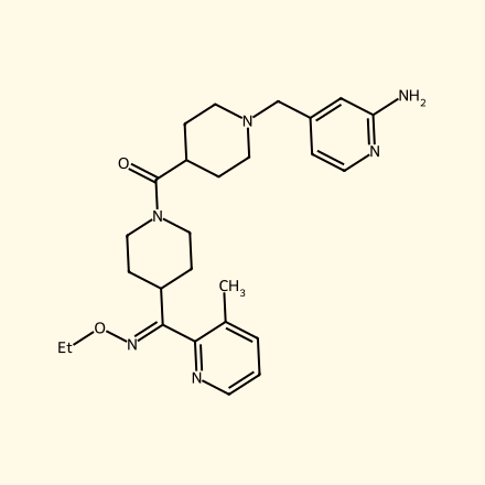 CCON=C(c1ncccc1C)C1CCN(C(=O)C2CCN(Cc3ccnc(N)c3)CC2)CC1